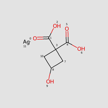 O=C(O)C1(C(=O)O)CC(O)C1.[Ag]